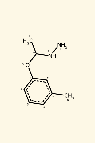 Cc1cccc(OC(C)NN)c1